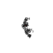 C[C@@H](CC1CC(Oc2nn3ccc(-c4ccc(F)nc4)cc3c2C(N)=O)C1)NC(=O)c1nn(C(F)F)c2cc(OCC(C)(C)O)ccc12